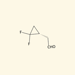 O=CC[C@H]1CC1(F)F